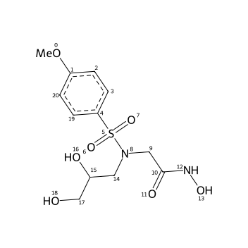 COc1ccc(S(=O)(=O)N(CC(=O)NO)CC(O)CO)cc1